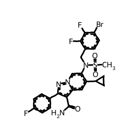 CS(=O)(=O)N(Cc1ccc(Br)c(F)c1F)c1cn2nc(-c3ccc(F)cc3)c(C(N)=O)c2cc1C1CC1